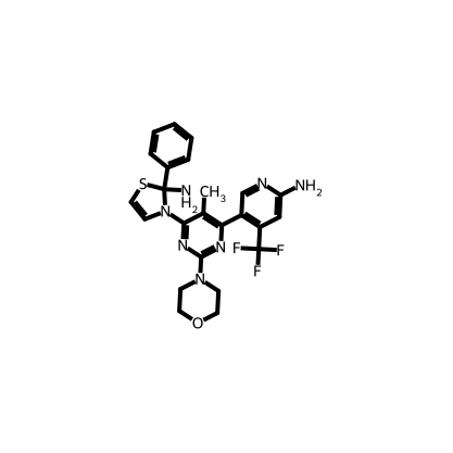 Cc1c(-c2cnc(N)cc2C(F)(F)F)nc(N2CCOCC2)nc1N1C=CSC1(N)c1ccccc1